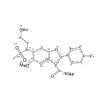 CNC(=O)c1c(-c2ccc(F)cc2)oc2cc(N(CCOC)S(C)(=O)=O)c(OC)cc12